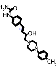 Cc1ccc(N2CCN(C[C@H](O)/C=C/c3ccc(NC(N)=O)cc3)CC2)cc1